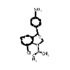 CN(C)N1CCC(c2ccc([N+](=O)[O-])cc2)c2cccc(Cl)c21